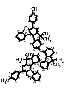 Cc1ccc(-c2cc3c(c4c2oc2ccccc24)-c2ccc(N(c4ccc5c(c4)C(C)(C)c4cc(-c6ccc(C)cc6)c6oc7ccccc7c6c4-5)c4cccc5c4-c4ccccc4C5(C)C)cc2C3(C)C)cc1